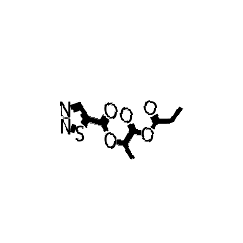 CCC(=O)OC(=O)C(C)OC(=O)c1cnns1